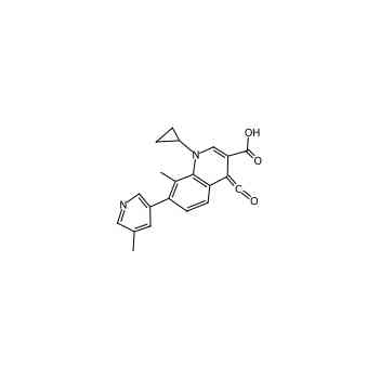 Cc1cncc(-c2ccc3c(c2C)N(C2CC2)C=C(C(=O)O)C3=C=O)c1